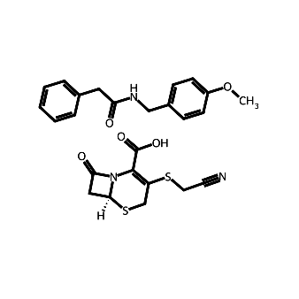 COc1ccc(CNC(=O)Cc2ccccc2)cc1.N#CCSC1=C(C(=O)O)N2C(=O)C[C@@H]2SC1